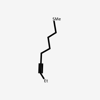 [CH2]CC#CCCCCSC